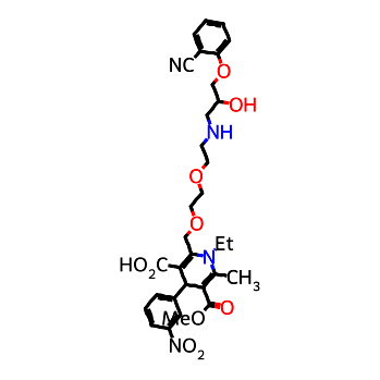 CCN1C(C)=C(C(=O)OC)C(c2cccc([N+](=O)[O-])c2)C(C(=O)O)=C1COCCOCCNCC(O)COc1ccccc1C#N